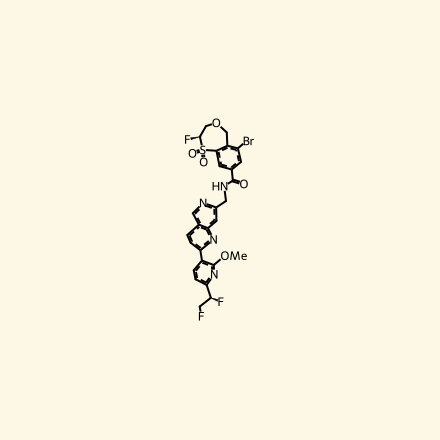 COc1nc([C@@H](F)CF)ccc1-c1ccc2cnc(CNC(=O)c3cc(Br)c4c(c3)S(=O)(=O)[C@@H](F)COC4)cc2n1